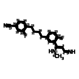 CN/C(=C\C=N)c1cc(CCCCc2ccc(C#N)cc2F)ccc1F